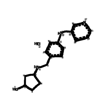 Cl.OC1CCC(NCc2ccc(Nc3cccnc3)cc2)C1